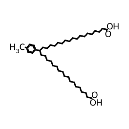 Cc1ccc(C(CCCCCCCCCCCCCCCCCC(=O)O)CCCCCCCCCCCCCCCCCC(=O)O)cc1